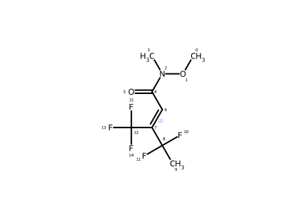 CON(C)C(=O)/C=C(/C(C)(F)F)C(F)(F)F